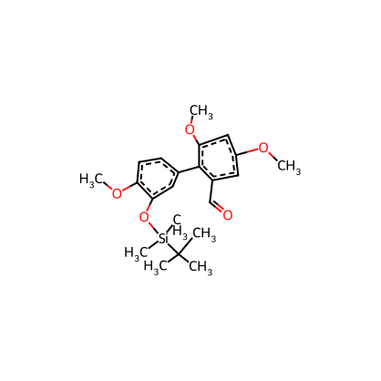 COc1cc(C=O)c(-c2ccc(OC)c(O[Si](C)(C)C(C)(C)C)c2)c(OC)c1